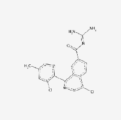 Cc1ccc(-c2ncc(Cl)c3ccc(C(=O)N=C(N)N)cc23)c(Cl)c1